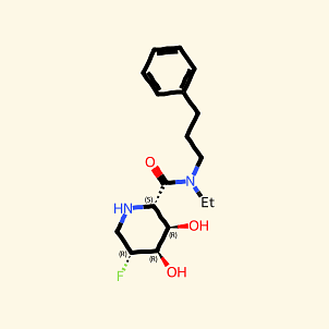 CCN(CCCc1ccccc1)C(=O)[C@H]1NC[C@@H](F)[C@H](O)[C@@H]1O